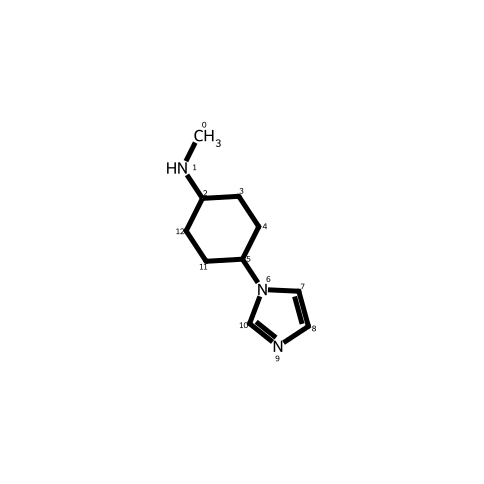 CNC1CCC(n2ccnc2)CC1